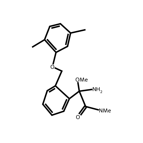 CNC(=O)C(N)(OC)c1ccccc1COc1cc(C)ccc1C